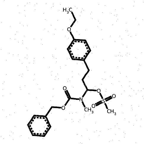 CCOc1ccc(CCC(OS(C)(=O)=O)N(C)C(=O)OCc2ccccc2)cc1